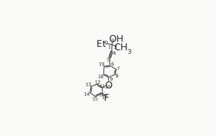 CCC(C)(O)C#Cc1ccc(Oc2ccccc2F)cc1